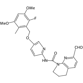 COc1cc(OC)c(F)c(COc2ccc(NC(=O)N3CCCc4ccc(C=O)nc43)nc2)c1C